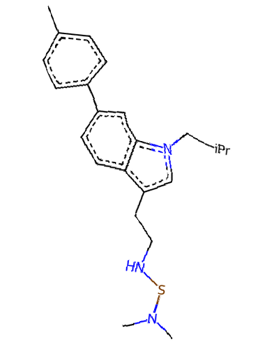 Cc1ccc(-c2ccc3c(CCNSN(C)C)cn(CC(C)C)c3c2)cc1